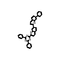 c1ccc(-c2ccc3ccc(-c4ccc5ccc(-c6nc(-c7ccccc7)nc(-c7ccccc7)n6)nc5c4)nc3c2)cc1